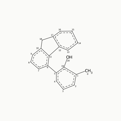 Cc1cccc(-c2cccc3c2-c2ccccc2C3)c1O